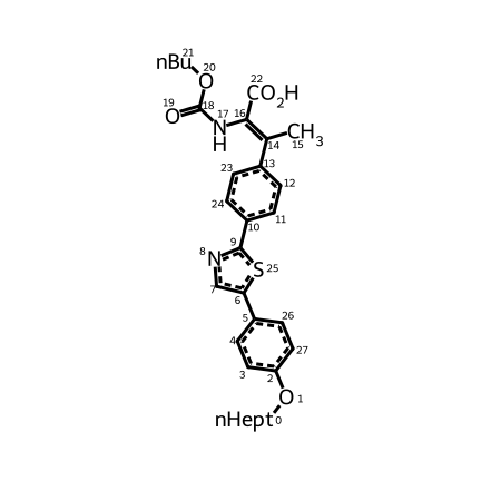 CCCCCCCOc1ccc(-c2cnc(-c3ccc(C(C)=C(NC(=O)OCCCC)C(=O)O)cc3)s2)cc1